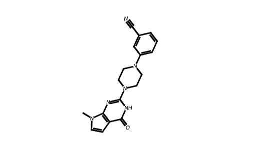 Cn1ccc2c(=O)[nH]c(N3CCN(c4cccc(C#N)c4)CC3)nc21